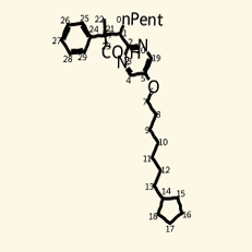 CCCCCC(c1ncc(OCCCCCCCC2CCCC2)cn1)[C@](C)(C(=O)O)c1ccccc1